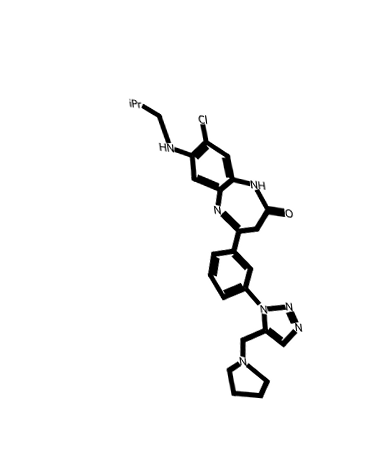 CC(C)CNc1cc2c(cc1Cl)NC(=O)CC(c1cccc(-n3nncc3CN3CCCC3)c1)=N2